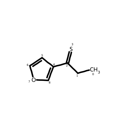 CCC(=S)c1ccoc1